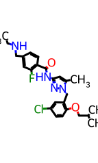 CCNCc1ccc(C(=O)Nc2cc(C)n(Cc3cc(Cl)ccc3OCC(C)C)n2)c(F)c1